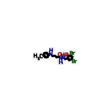 Cc1ccc(NCCCC(=O)NN=Cc2cc(Br)cc(Br)c2O)cc1